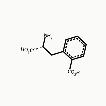 N[C@H](Cc1ccccc1C(=O)O)C(=O)O